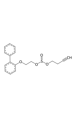 C#CCCOS(=O)OCCOc1ccccc1-c1ccccc1